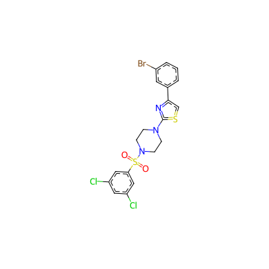 O=S(=O)(c1cc(Cl)cc(Cl)c1)N1CCN(c2nc(-c3cccc(Br)c3)cs2)CC1